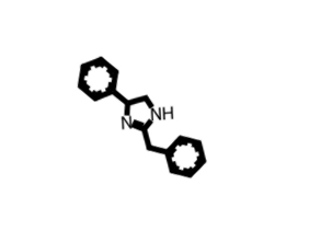 c1ccc(CC2=NC(c3ccccc3)CN2)cc1